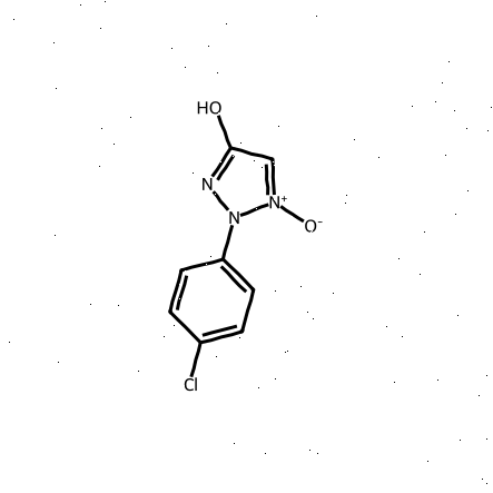 [O-][n+]1cc(O)nn1-c1ccc(Cl)cc1